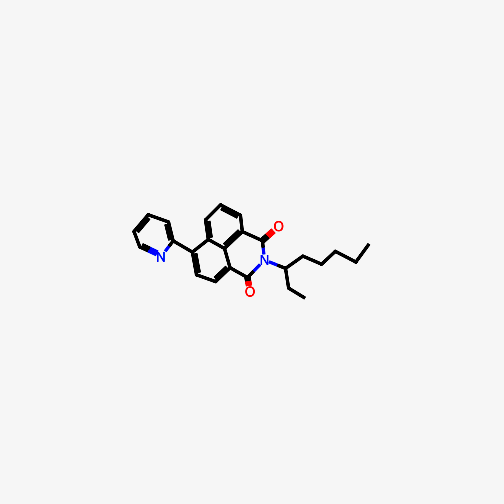 CCCCCC(CC)N1C(=O)c2cccc3c(-c4ccccn4)ccc(c23)C1=O